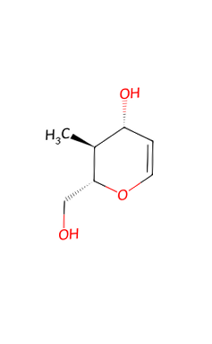 C[C@H]1[C@H](O)C=CO[C@@H]1CO